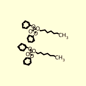 CCCCCCCOP(=O)(Oc1ccccc1)Oc1ccccc1.CCCCCCCOP(=O)(Oc1ccccc1)Oc1ccccc1